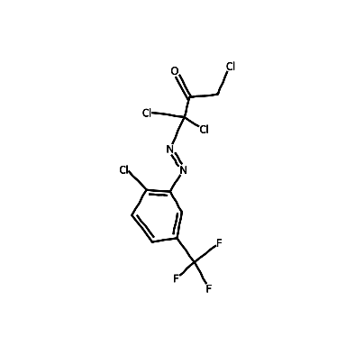 O=C(CCl)C(Cl)(Cl)/N=N/c1cc(C(F)(F)F)ccc1Cl